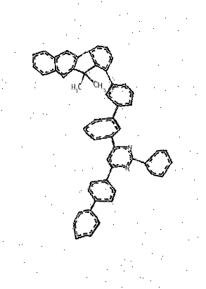 CC1(C)c2cc3ccccc3cc2-c2cccc(-c3cccc(-c4cccc(-c5cc(-c6ccc(-c7ccccc7)cc6)nc(-c6ccccc6)n5)c4)c3)c21